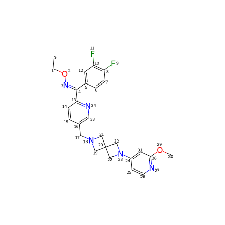 CCON=C(c1ccc(F)c(F)c1)c1ccc(CN2CC3(C2)CN(c2ccnc(OC)c2)C3)cn1